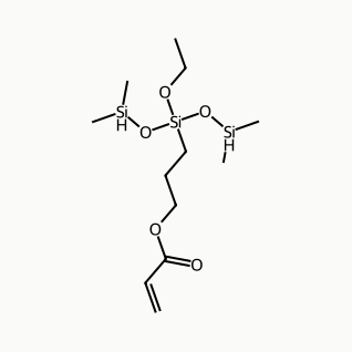 C=CC(=O)OCCC[Si](OCC)(O[SiH](C)C)O[SiH](C)C